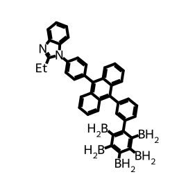 Bc1c(B)c(B)c(-c2cccc(-c3c4ccccc4c(-c4ccc(-n5c(CC)nc6ccccc65)cc4)c4ccccc34)c2)c(B)c1B